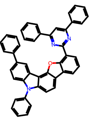 c1ccc(-c2ccc3c(c2)c2c4oc5c(-c6nc(-c7ccccc7)cc(-c7ccccc7)n6)cccc5c4ccc2n3-c2ccccc2)cc1